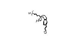 CCCCCC(O)N1CCCc2cc(/C=C/C=O)ccc21